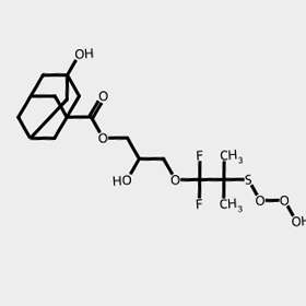 CC(C)(SOOO)C(F)(F)OCC(O)COC(=O)C12CC3CC(CC(O)(C3)C1)C2